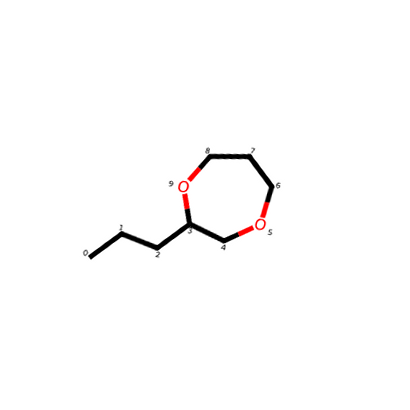 CCCC1COCCCO1